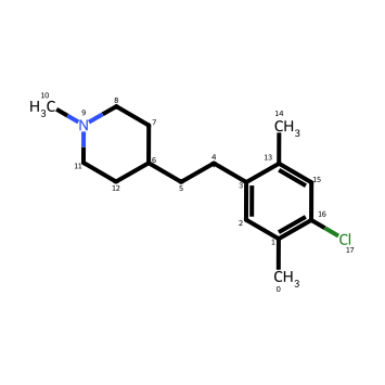 Cc1cc([CH]CC2CCN(C)CC2)c(C)cc1Cl